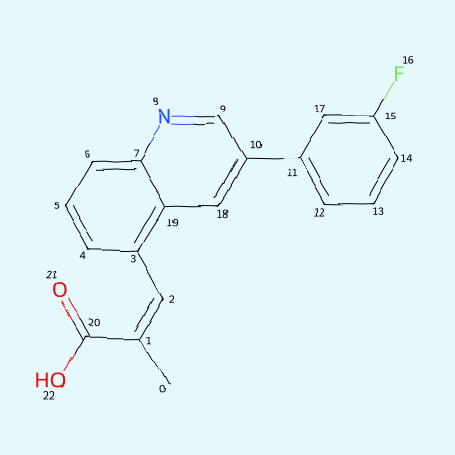 CC(=Cc1cccc2ncc(-c3cccc(F)c3)cc12)C(=O)O